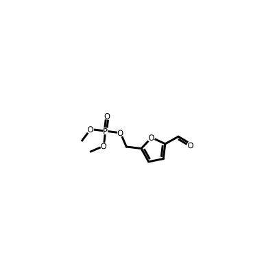 COP(=O)(OC)OCc1ccc(C=O)o1